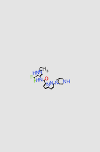 CN1C=C(NC(=O)c2ccc3ccc(N4CC5CNCC4C5)nn23)C(C(F)F)N1